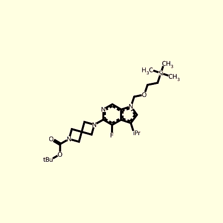 CC(C)c1cn(COCC[Si](C)(C)C)c2cnc(N3CC4(CN(C(=O)OC(C)(C)C)C4)C3)c(F)c12